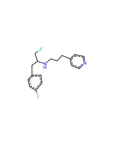 FCC(Cc1ccc(F)cc1)NCCCc1ccncc1